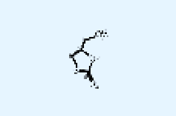 OCC1CSC(=S)O1